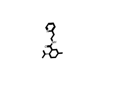 CC1CC[C@@H](C(C)C)C(C(=O)NCCc2ccccn2)C1